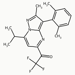 Cc1cccc(C)c1-c1c(C)nn2c(C(C)C)cc(C(=O)C(F)(F)F)nc12